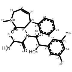 C[C@H](N)C(=O)N(C(=O)[C@H](O)c1cc(F)cc(F)c1)[C@@H]1C(=O)N(C)CC=C[C@H]1c1ccccc1